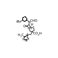 CCC(C)c1cccc(N(C=O)C2C(=O)N3CC(CSn4nnnc4C)(C(=O)O)CS[C@H]23)c1